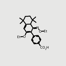 CCON=C1C(c2ccc(C(=O)O)cc2)=C(OCC)C=C2C1C(C)(C)CCC2(C)C